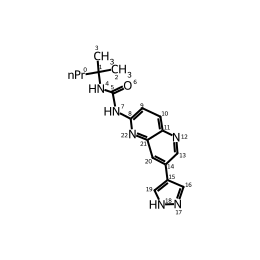 CCCC(C)(C)NC(=O)Nc1ccc2ncc(-c3cn[nH]c3)cc2n1